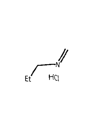 C=NCCC.Cl